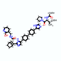 COC(=O)N[C@H](C(=O)N1CCC[C@H]1c1ncc(-c2ccc(-c3ccc(-c4cnc(C5C6CCC(C6)[C@@H]5C(=O)NCc5cccnc5O)[nH]4)cc3)cc2)[nH]1)[C@@H](C)OC